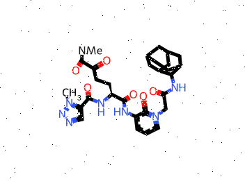 CNC(=O)C(=O)CC[C@H](NC(=O)c1cnnn1C)C(=O)Nc1cccn(CC(=O)NC2C3CC4CC(C3)CC2C4)c1=O